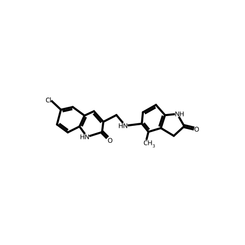 Cc1c(NCc2cc3cc(Cl)ccc3[nH]c2=O)ccc2c1CC(=O)N2